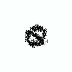 CCOc1ccc(C(=O)NCc2ccc3c(c2)CN(C2CCC(=O)NC2=O)C3=O)cc1.O=C(Cc1ccc2ncccc2c1)NCc1ccc2c(c1)CN(C1CCC(=O)NC1=O)C2=O.O=C1CCC(N2Cc3cc(CNC(=O)c4ccccc4)ccc3C2=O)C(=O)N1